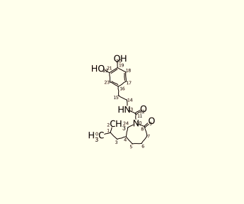 CC(C)CC1CCCC(=O)N(C(=O)NCCc2ccc(O)c(O)c2)C1